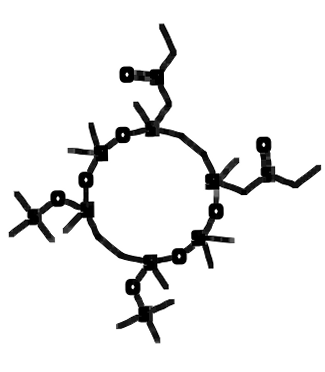 CC[Si](=O)C[Si]1(C)CC[Si](C)(C[Si](=O)CC)O[Si](C)(C)O[Si](C)(O[Si](C)(C)C)CC[Si](C)(O[Si](C)(C)C)O[Si](C)(C)O1